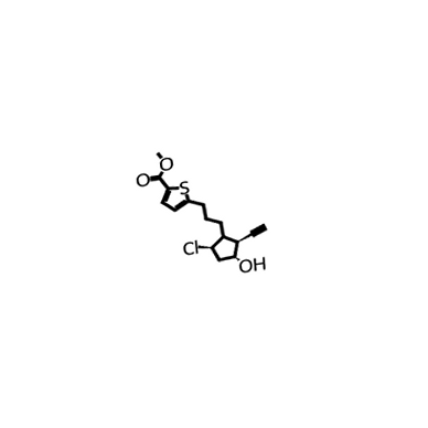 C#C[C@@H]1C(CCCc2ccc(C(=O)OC)s2)[C@H](Cl)C[C@H]1O